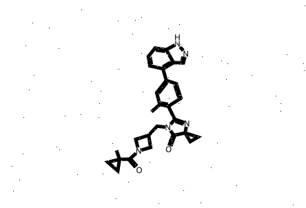 Cc1cc(-c2cccc3[nH]ncc23)ccc1C1=NC2(CC2)C(=O)N1CC1CN(C(=O)C2(C)CC2)C1